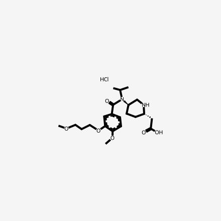 COCCCOc1cc(C(=O)N(C(C)C)[C@@H]2CC[C@@H](CC(=O)O)NC2)ccc1OC.Cl